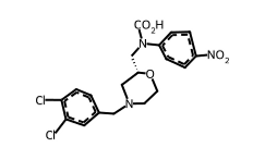 O=C(O)N(C[C@H]1CN(Cc2ccc(Cl)c(Cl)c2)CCO1)c1ccc([N+](=O)[O-])cc1